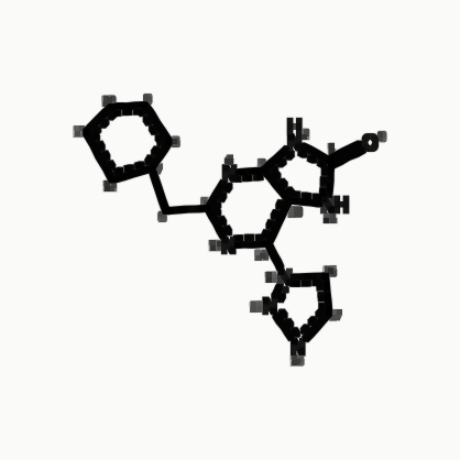 O=c1[nH]c2nc(Cc3ccccc3)nc(-n3ccnn3)c2[nH]1